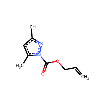 C=CCOC(=O)n1nc(C)cc1C